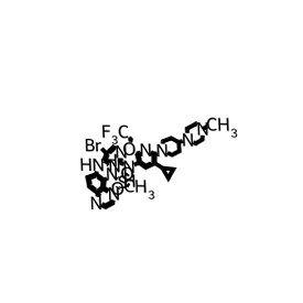 CN1CCN(C2CCN(c3nc(OCC(F)(F)F)c(Nc4ncc(Br)c(Nc5ccc6nccnc6c5NS(C)(=O)=O)n4)cc3C3CC3)CC2)CC1